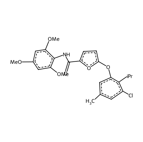 COc1cc(OC)c(NC(=O)c2ccc(Oc3cc(C)cc(Cl)c3C(C)C)o2)c(OC)c1